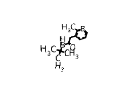 Cc1bcccc1CC(=O)BC(C)(C)C